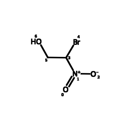 O=[N+]([O-])C(Br)CO